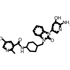 Cc1ncc(Cl)cc1C(=O)NC1CCC(Cn2c(=O)n(-c3cnc(N)c(O)c3)c3ccccc32)CC1